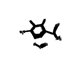 Cc1c(C(N)=O)ccc([N+](=O)[O-])c1C.O=PCl